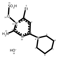 CCc1cc(N2CCCCC2)nc(N)[n+]1OS(=O)(=O)O.[OH-]